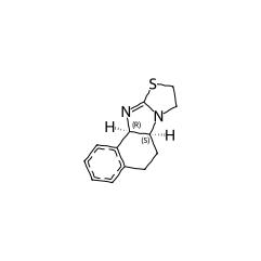 c1ccc2c(c1)CC[C@H]1[C@@H]2N=C2SCCN21